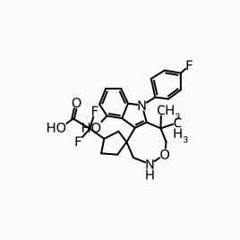 CC1(C)CONCC2(CCC(C(F)(F)C(=O)O)C2)c2c1n(-c1ccc(F)cc1)c1cccc(O)c21